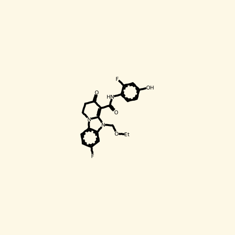 CCOCN1C2=C(C(=O)Nc3ccc(O)cc3F)C(=O)CCN2c2ccc(F)cc21